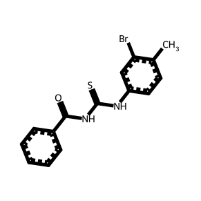 Cc1ccc(NC(=S)NC(=O)c2ccccc2)cc1Br